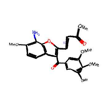 COC(=O)/C=C/c1oc2c(N)c(OC)ccc2c1C(=O)c1cc(OC)c(OC)c(OC)c1